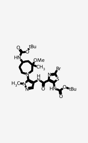 COC1(C)CC(NC(=O)OC(C)(C)C)CCN(c2c(NC(=O)c3nc(Br)sc3NC(=O)OC(C)(C)C)cnn2C)C1